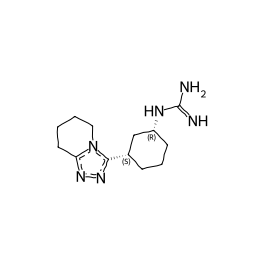 N=C(N)N[C@@H]1CCC[C@H](c2nnc3n2CCCC3)C1